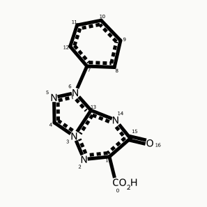 O=C(O)c1nn2cnn(-c3ccccc3)c2nc1=O